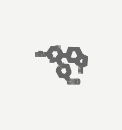 CCCCc1cnc(-c2ccc3cc[nH]c3c2)c(N2CCC(C=O)CC2)n1